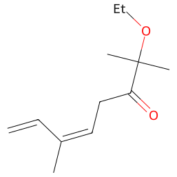 C=CC(C)=CCC(=O)C(C)(C)OCC